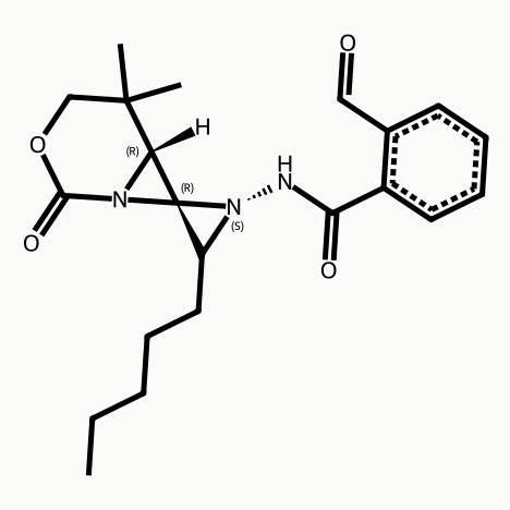 CCCCCC1[N@@](NC(=O)c2ccccc2C=O)[C@]12[C@@H]1N2C(=O)OCC1(C)C